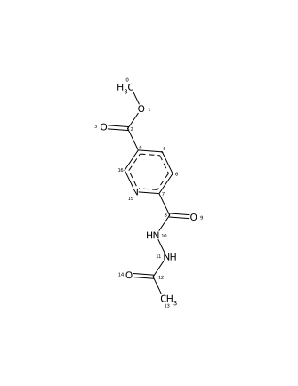 COC(=O)c1ccc(C(=O)NNC(C)=O)nc1